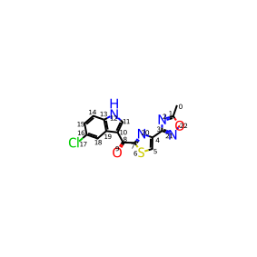 Cc1nc(-c2csc(C(=O)c3c[nH]c4ccc(Cl)cc34)n2)no1